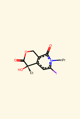 CCCn1c(I)cc2c(c1=O)COC(=O)[C@]2(O)CC